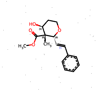 COC(=O)[C@]1(C)[C@@H](O)CCO[C@@H]1/C=C/c1ccccc1